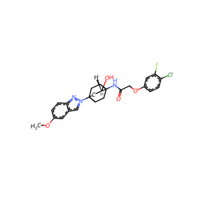 COc1ccc2nn(C34CCC(NC(=O)COc5ccc(Cl)c(F)c5)(CC3)[C@@H](O)C4)cc2c1